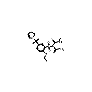 CCOc1ccc(C(C)(C)N2C=CSC2)cc1S(=O)(=O)N(C(N)=O)C(=S)NC